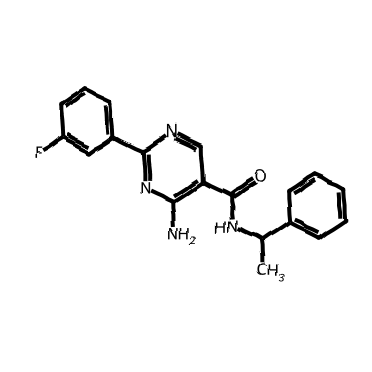 CC(NC(=O)c1cnc(-c2cccc(F)c2)nc1N)c1ccccc1